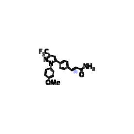 COc1ccc(-n2nc(C(F)(F)F)cc2-c2ccc(/C=C/C(N)=O)cc2)cc1